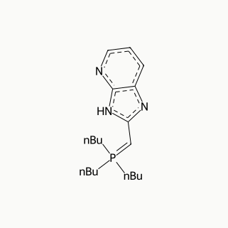 CCCCP(=Cc1nc2cccnc2[nH]1)(CCCC)CCCC